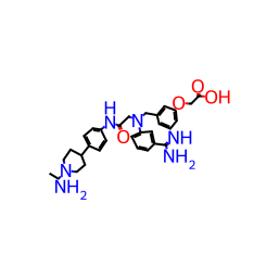 CC(N)N1CCC(c2ccc(NC(=O)CN(Cc3cccc(OCC(=O)O)c3)c3cccc(C(=N)N)c3)cc2)CC1